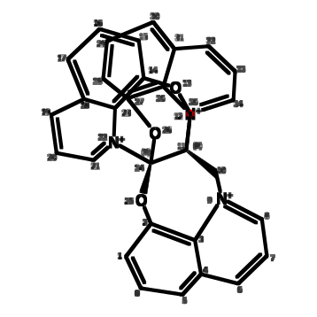 c1cc2c3c(c1)ccc[n+]3C[C@@]13COc4cccc5ccc[n+](c45)[C@]1(O2)Oc1cccc2ccc[n+]3c12